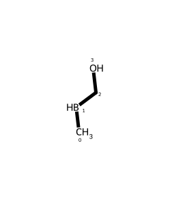 CBCO